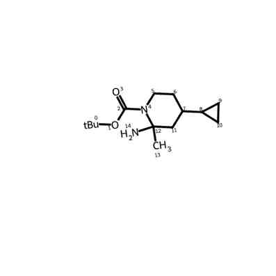 CC(C)(C)OC(=O)N1CCC(C2CC2)CC1(C)N